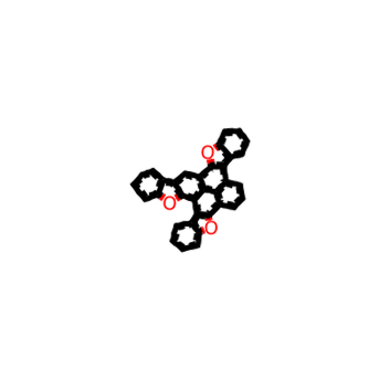 c1ccc2c(c1)oc1c2cc2c3oc4ccccc4c3c3cccc4c5oc6ccccc6c5c1c2c43